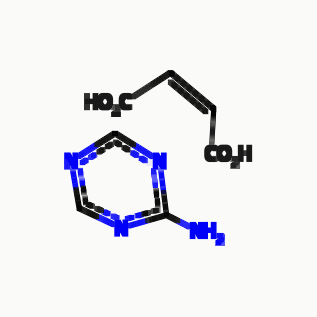 Nc1ncncn1.O=C(O)/C=C\C(=O)O